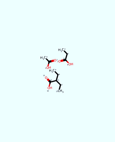 CC(=O)O.CCC(=O)O.CCC(CC)C(=O)O